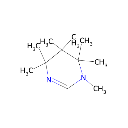 CN1C=NC(C)(C)C(C)(C)C1(C)C